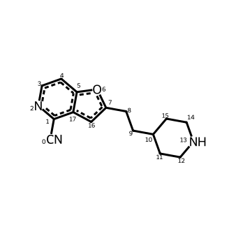 N#Cc1nccc2oc(CCC3CCNCC3)cc12